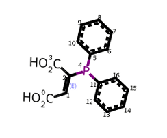 O=C(O)/C=C(\C(=O)O)P(c1ccccc1)c1ccccc1